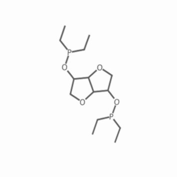 CCP(CC)OC1COC2C(OP(CC)CC)COC12